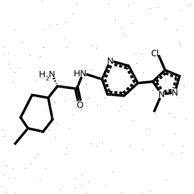 CC1CCC([C@H](N)C(=O)Nc2ccc(-c3c(Cl)cnn3C)cn2)CC1